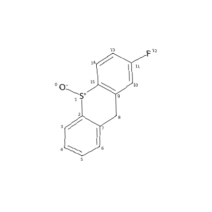 [O-][S+]1c2ccccc2Cc2cc(F)ccc21